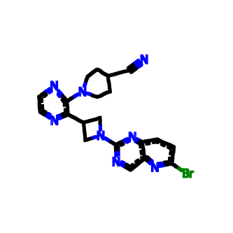 N#CC1CCN(c2nccnc2C2CN(c3ncc4nc(Br)ccc4n3)C2)CC1